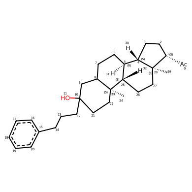 CC(=O)[C@H]1CC[C@H]2[C@@H]3CCC4CC(O)(CCCc5ccccc5)CC[C@]4(C)[C@H]3CC[C@]12C